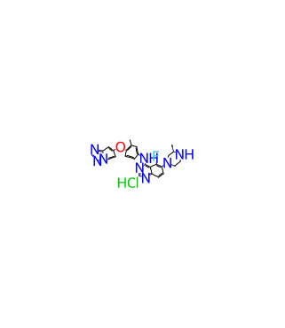 Cc1cc(Nc2ncnc3ccc(N4CCN[C@H](C)C4)c(F)c23)ccc1Oc1ccn2ncnc2c1.Cl